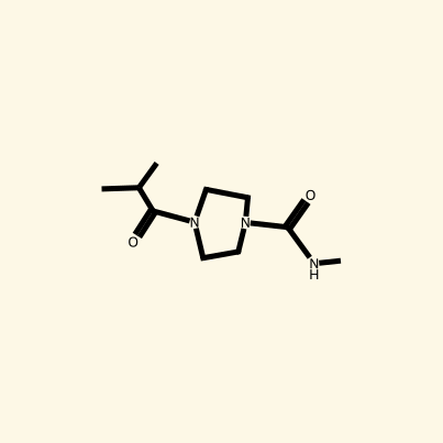 CNC(=O)N1CCN(C(=O)C(C)C)CC1